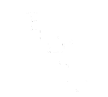 CC(C)(C)[Si](C)(C)OCCCOc1nn(C2CCCOCC2)cc1[N+](=O)[O-]